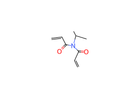 C=CC(=O)N(C(=O)C=C)C(C)C